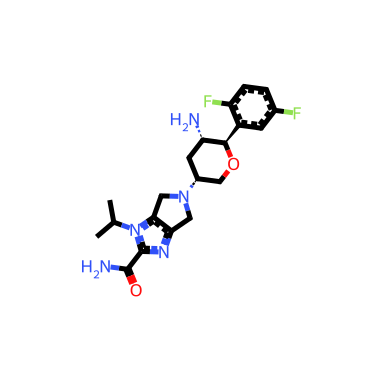 CC(C)n1c(C(N)=O)nc2c1CN([C@H]1CO[C@H](c3cc(F)ccc3F)[C@@H](N)C1)C2